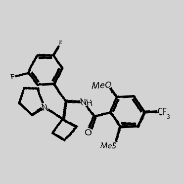 COc1cc(C(F)(F)F)cc(SC)c1C(=O)NC(c1cc(F)cc(F)c1)C1(N2CCCC2)CCC1